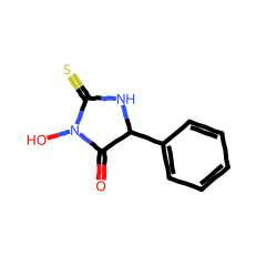 O=C1C(c2ccccc2)NC(=S)N1O